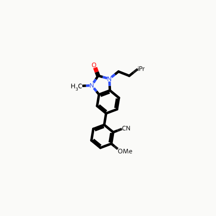 COc1cccc(-c2ccc3c(c2)n(C)c(=O)n3CCC(C)C)c1C#N